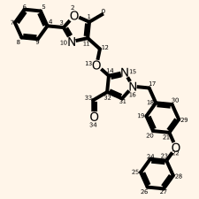 Cc1oc(-c2ccccc2)nc1COc1nn(Cc2ccc(Oc3ccccc3)cc2)cc1C=O